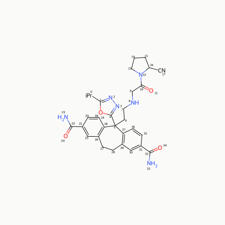 CC(C)c1nnc(C2(CCNCC(=O)N3CCCC3C#N)c3ccc(C(N)=O)cc3CCc3cc(C(N)=O)ccc32)o1